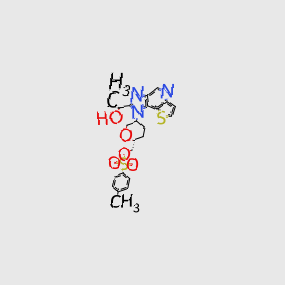 Cc1ccc(S(=O)(=O)OC[C@H]2CC[C@H](n3c(C(C)O)nc4cnc5ccsc5c43)CO2)cc1